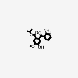 COc1cc(C(=O)OC(C)C)c(C(=O)c2ccccc2N)cc1O